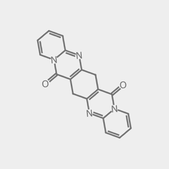 O=c1c2c(nc3ccccn13)Cc1c(nc3ccccn3c1=O)C2